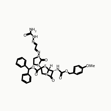 COc1ccc(COC(=O)N[C@@H]2C(=O)N3C[C@@](C(=O)OC(c4ccccc4)c4ccccc4)(N4CCN(/N=C/C=N/NC(N)=O)C4=O)S[C@H]23)cc1